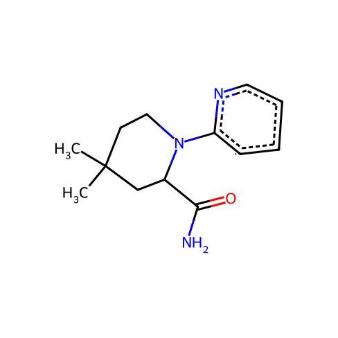 CC1(C)CCN(c2[c]cccn2)C(C(N)=O)C1